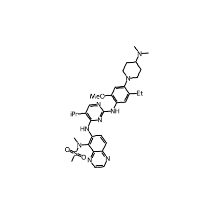 CCc1cc(Nc2ncc(C(C)C)c(Nc3ccc4nccnc4c3N(C)S(C)(=O)=O)n2)c(OC)cc1N1CCC(N(C)C)CC1